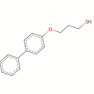 SCCCOc1ccc(-c2ccccc2)cc1